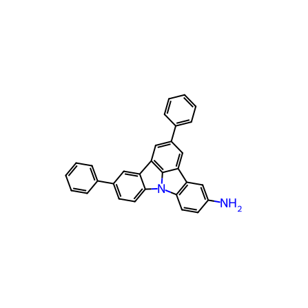 Nc1ccc2c(c1)c1cc(-c3ccccc3)cc3c4cc(-c5ccccc5)ccc4n2c13